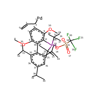 C=C[CH2][Pd].COc1ccc(OC)c([PH](OS(=O)(=O)C(F)(F)F)(C(C)(C)C)C(C)(C)C)c1-c1c(C(C)C)cc(C(C)C)cc1C(C)C